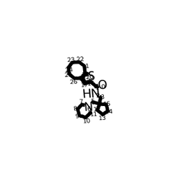 O=C(NCC1(CN2CCCCC2)CCCC1)c1cc2c(s1)CCCCCC2